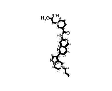 CC(C)CN1CCCC(C(=O)Nc2cc3nc(-c4cnn5c4CN(CCF)CC5)ccc3cn2)C1